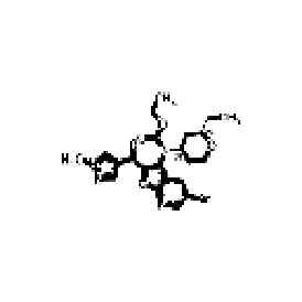 CCOC(=O)N(c1c(C(=O)c2cnn(C)c2)oc2ncc(Br)cc12)[C@H]1CCO[C@@H](CC)C1